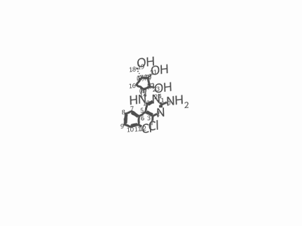 Nc1nc(Cl)c(-c2ccccc2Cl)c(N[C@@H]2C[C@H](CO)[C@@H](O)[C@H]2O)n1